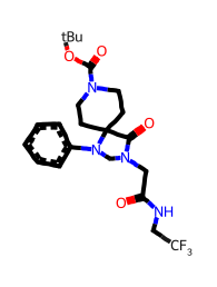 CC(C)(C)OC(=O)N1CCC2(CC1)C(=O)N(CC(=O)NCC(F)(F)F)CN2c1ccccc1